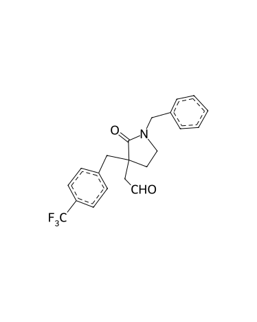 O=CCC1(Cc2ccc(C(F)(F)F)cc2)CCN(Cc2ccccc2)C1=O